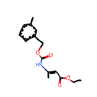 CCOC(=O)C=C(C)NC(=O)OCc1cccc(C)c1